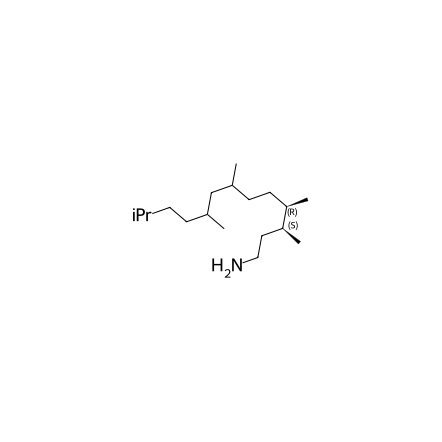 CC(C)CCC(C)CC(C)CC[C@@H](C)[C@@H](C)CCN